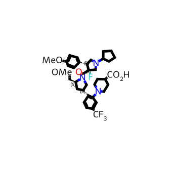 COC[C@@H]1C[C@@H](c2ccc(C(F)(F)F)cc2N2CCC(C(=O)O)CC2)CN1C(=O)[C@]1(F)CN(C2CCCC2)C[C@H]1c1ccc(OC)cc1